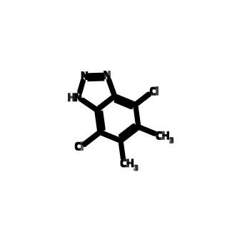 Cc1c(C)c(Cl)c2[nH]nnc2c1Cl